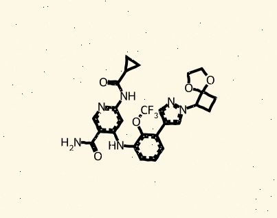 NC(=O)c1cnc(NC(=O)C2CC2)cc1Nc1cccc(-c2cnn(C3CCC34OCCO4)c2)c1OC(F)(F)F